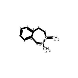 C=S1CCc2ccccc2CN1C